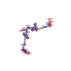 O=C(O)CCC(NC(=O)NC(CCCCNC(=O)CCCCCCCNC(=O)C(Cc1ccccc1)NC(=O)C(Cc1ccccc1)NC(=O)CNCCN(CCN(CCNCC(=O)O)CC(=O)NC(Cc1ccccc1)C(=O)NC(Cc1ccccc1)C(=O)NCCCCCCCC(=O)NCCCCC(NC(=O)NC(CCC(=O)O)C(=O)O)C(=O)O)CC(=O)O)C(=O)O)C(=O)O